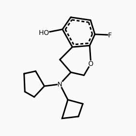 Oc1ccc(F)c2c1CC(N(C1CCCC1)C1CCC1)CO2